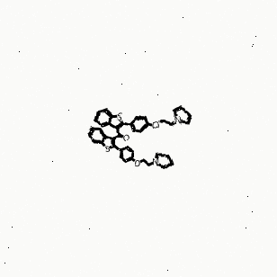 O=C(c1c(-c2ccc(OCCN3CCCC3)cc2)sc2ccccc12)c1c(-c2ccc(OCCN3CCCC3)cc2)sc2ccccc12